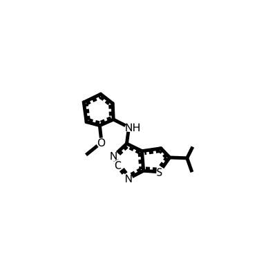 COc1ccccc1Nc1ncnc2sc(C(C)C)cc12